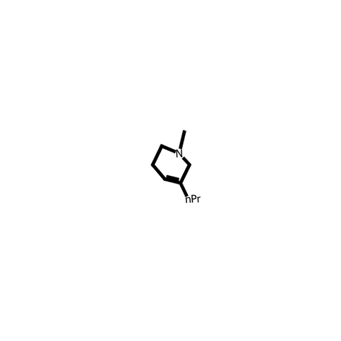 CCCC1=CCCN(C)C1